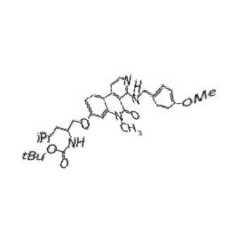 COc1ccc(CNc2nccc3c2c(=O)n(C)c2cc(OCC(CC(C)C)NC(=O)OC(C)(C)C)ccc32)cc1